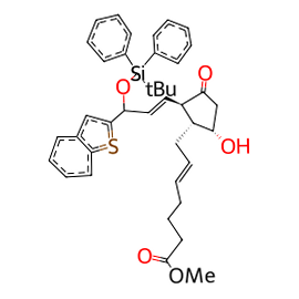 COC(=O)CCCC=CC[C@H]1[C@@H](O)CC(=O)[C@@H]1C=CC(O[Si](c1ccccc1)(c1ccccc1)C(C)(C)C)c1cc2ccccc2s1